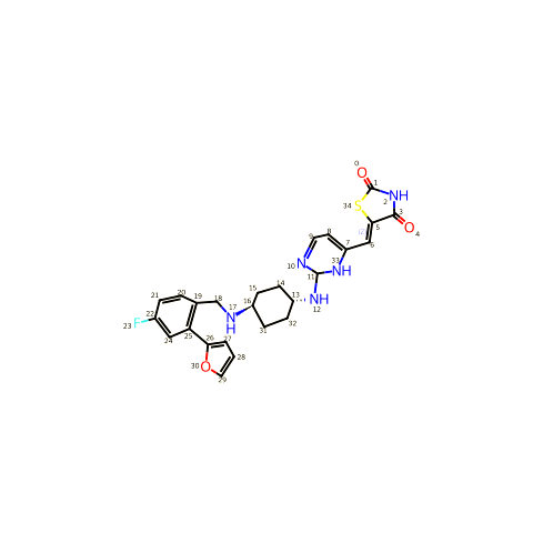 O=C1NC(=O)/C(=C/C2=CC=NC(N[C@H]3CC[C@H](NCc4ccc(F)cc4-c4ccco4)CC3)N2)S1